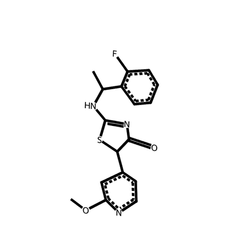 COc1cc(C2SC(NC(C)c3ccccc3F)=NC2=O)ccn1